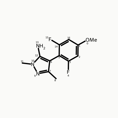 COc1cc(F)c(-c2c(C)nn(C)c2N)c(F)c1